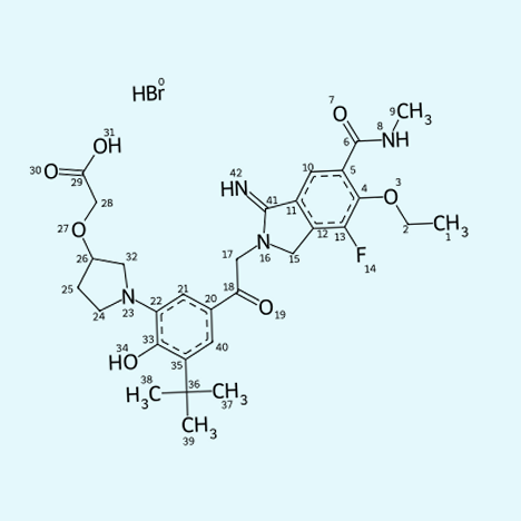 Br.CCOc1c(C(=O)NC)cc2c(c1F)CN(CC(=O)c1cc(N3CCC(OCC(=O)O)C3)c(O)c(C(C)(C)C)c1)C2=N